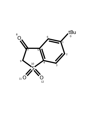 CC(C)(C)c1ccc2c(c1)C(=O)CS2(=O)=O